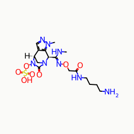 CN/C(=N\OCC(=O)NCCCCN)[C@@H]1c2c(cnn2C)[C@H]2CN1C(=O)N2OS(=O)(=O)O